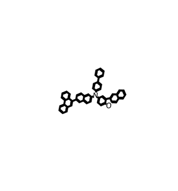 c1ccc(-c2ccc(N(c3ccc4cc(-c5cc6ccccc6c6ccccc56)ccc4c3)c3ccc4oc5cc6ccccc6cc5c4c3)cc2)cc1